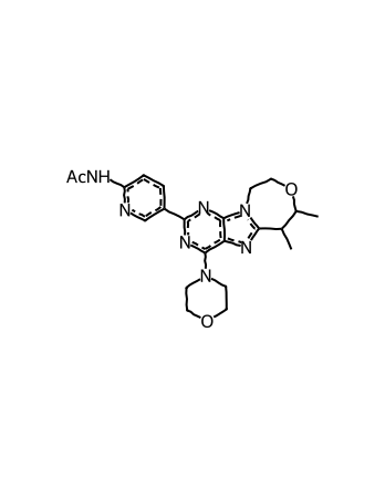 CC(=O)Nc1ccc(-c2nc(N3CCOCC3)c3nc4n(c3n2)CCOC(C)C4C)cn1